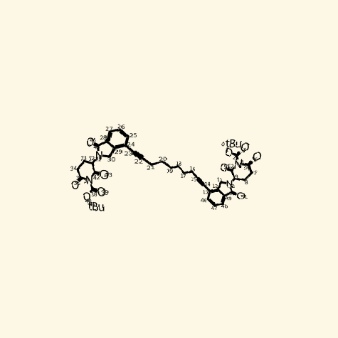 CC(C)(C)OC(=O)N1C(=O)CCC(N2Cc3c(C#CCCCCCCC#Cc4cccc5c4CN(C4CCC(=O)N(C(=O)OC(C)(C)C)C4=O)C5=O)cccc3C2=O)C1=O